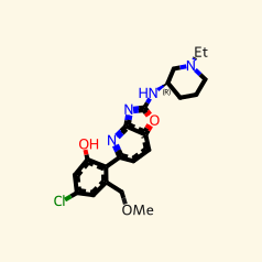 CCN1CCC[C@@H](Nc2nc3nc(-c4c(O)cc(Cl)cc4COC)ccc3o2)C1